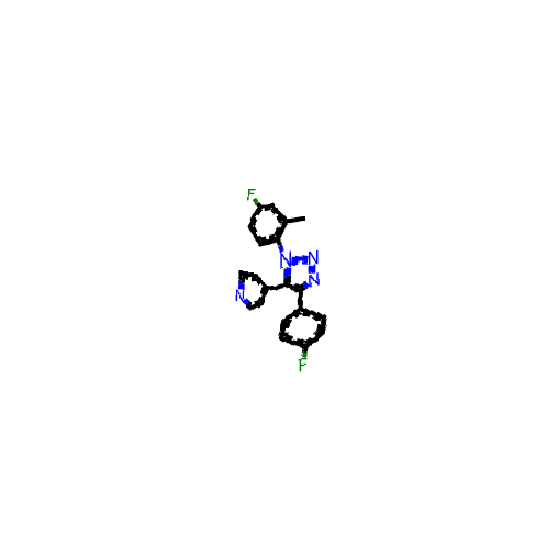 Cc1cc(F)ccc1-n1nnc(-c2ccc(F)cc2)c1-c1ccncc1